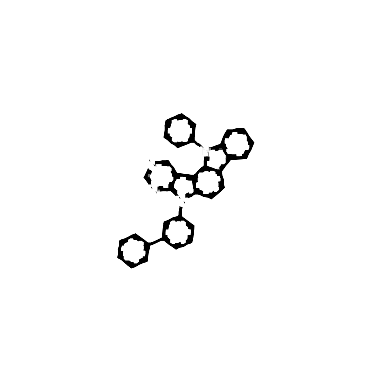 c1ccc(-c2cccc(-n3c4ccc5c6ccccc6n(-c6ccccc6)c5c4c4cncnc43)c2)cc1